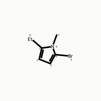 CCc1ccc(Br)n1C